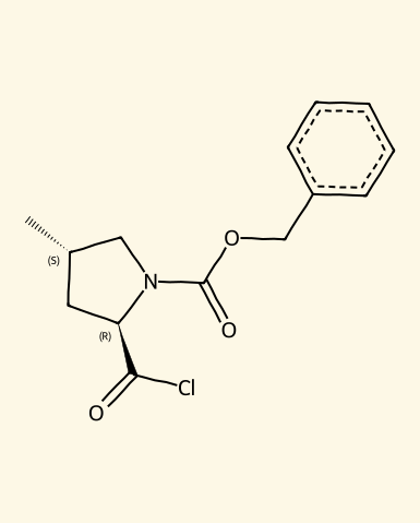 C[C@H]1C[C@H](C(=O)Cl)N(C(=O)OCc2ccccc2)C1